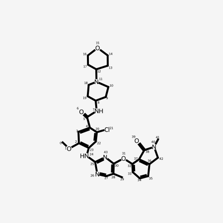 COc1cc(C(=O)NC2CCN(C3CCOCC3)CC2)c(Cl)cc1Nc1ncc(C)c(Oc2cccc3c2C(=O)N(C)C3)n1